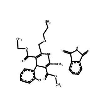 CCOC(=O)C1=C(COCCN)NC(C)=C(C(=O)OC)C1c1ccccc1Cl.O=C1NC(=O)c2ccccc21